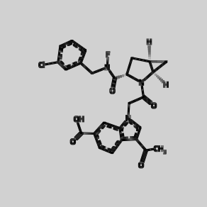 CC(=O)c1cn(CC(=O)N2[C@@H]3C[C@@H]3C[C@H]2C(=O)N(F)Cc2cccc(Cl)c2)c2cc(C(=O)O)ccc12